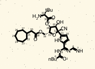 CCCCC(=O)N/C(=N/C=N)c1ccc([C@]2(C#N)O[C@H](COC(=O)CC3CCCCCC3)[C@@H](OC(=O)[C@@H](N)C(C)(C)C)[C@H]2O)[nH]1